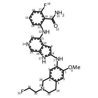 COc1cc2c(cc1Nc1cc3c(Nc4cccc(F)c4C(N)=O)cncc3[nH]1)CN(CCF)CC2